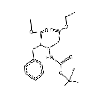 CCOC(=O)CN(NC(=O)OC(C)(C)C)C(Cc1ccccc1)C(=O)OC